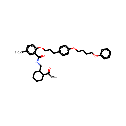 CCOC(=O)c1ccc(OCCCc2ccc(OCCCCOc3ccccc3)cc2)c(C(=O)NCC2CCCCC2C(=O)OC)c1